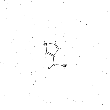 CC(O)c1cc[nH]c1